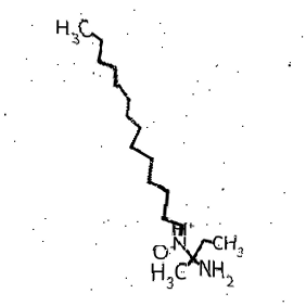 CCCCCCCCCCCCCC[NH+]([O-])C(C)(N)CC